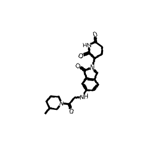 CC1CCCN(C(=O)CNc2ccc3c(c2)C(=O)N(C2CCC(=O)NC2=O)C3)C1